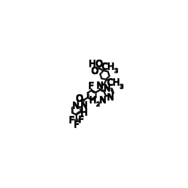 CC1(C(=O)O)CCC(C)(c2nc(-c3ccc(C(=O)Nc4cc(C(F)(F)F)ccn4)cc3F)c3c(N)nccn23)CC1